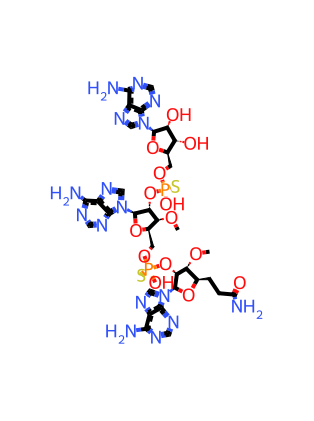 CO[C@H]1[C@@H](OP(O)(=S)OC[C@H]2O[C@@H](n3cnc4c(N)ncnc43)[C@H](OP(O)(=S)OC[C@H]3O[C@@H](n4cnc5c(N)ncnc54)[C@H](O)[C@@H]3O)[C@@H]2OC)[C@H](n2cnc3c(N)ncnc32)O[C@@H]1CCC(N)=O